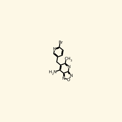 Cc1nc2nonc2c(N)c1Cc1ccc(Br)nc1